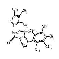 CC(=O)Oc1c(C)c(C)c(C)c(-c2csc(C(N)=O)c2S(=O)(=O)Nc2onc(C)c2C)c1C